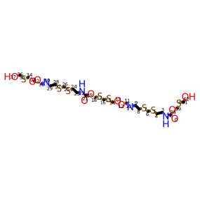 O=C(NCCSCSCC/N=C/OOCSCSCOC(=O)NCCSCSCC/N=C/OOCSCO)OCSCO